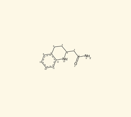 NC(=O)CC1CCc2ccccc2N1